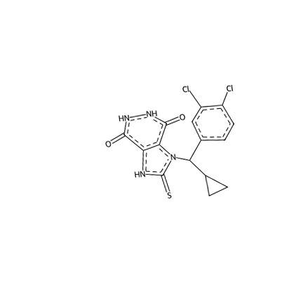 O=c1[nH][nH]c(=O)c2c1[nH]c(=S)n2C(c1ccc(Cl)c(Cl)c1)C1CC1